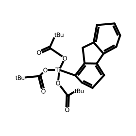 CC(C)(C)C(=O)[O][Ti]([O]C(=O)C(C)(C)C)([O]C(=O)C(C)(C)C)[c]1cccc2c1Cc1ccccc1-2